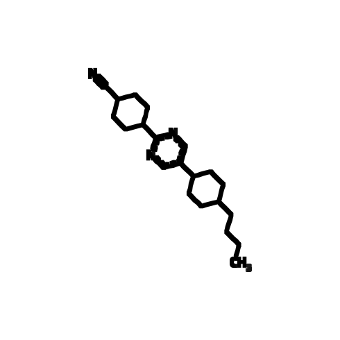 CCCCC1CCC(c2cnc(C3CCC(C#N)CC3)nc2)CC1